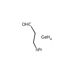 CCCCCC=O.[GeH4]